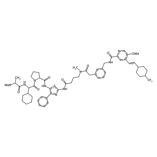 CNC(C)C(=O)NC(C(=O)N1CCCC1C(=O)Nc1sc(NC(=O)CCCN(C)C(=O)Cc2cccc(CNC(=O)c3cc(/C=C/C4CCC(C(F)(F)F)CC4)c(OC)cn3)c2)nc1-c1ccccc1)C1CCCCC1